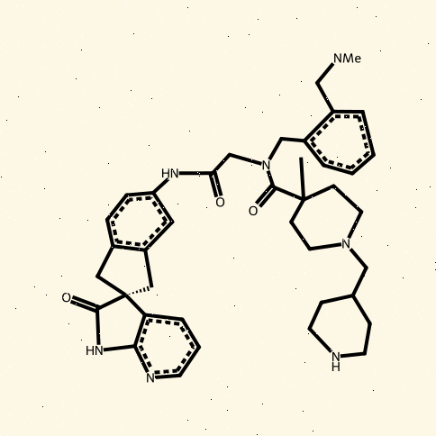 CNCc1ccccc1CN(CC(=O)Nc1ccc2c(c1)C[C@@]1(C2)C(=O)Nc2ncccc21)C(=O)C1(C)CCN(CC2CCNCC2)CC1